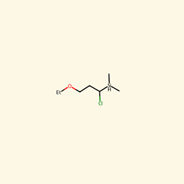 CCOCCC(Cl)[SiH](C)C